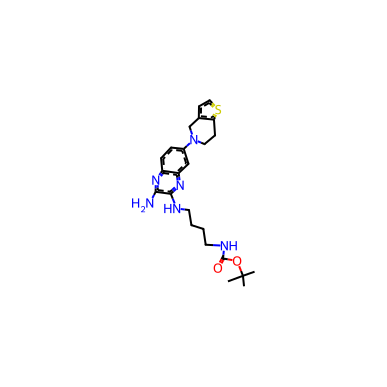 CC(C)(C)OC(=O)NCCCCNc1nc2cc(N3CCc4sccc4C3)ccc2nc1N